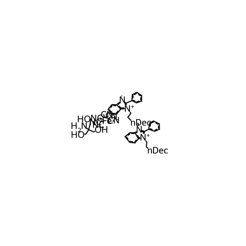 CCCCCCCCCCCC[n+]1c(-c2ccccc2)n(C)c2ccccc21.CCCCCCCCCCCC[n+]1c(-c2ccccc2)n(C)c2ccccc21.N#[C][Fe-2]([C]#N)([C]#N)([C]#N)([C]#N)[C]#N.NC(CO)(CO)CO